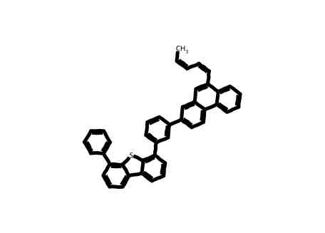 C/C=C\C=C/c1cc2cc(-c3cccc(-c4cccc5c4sc4c(-c6ccccc6)cccc45)c3)ccc2c2ccccc12